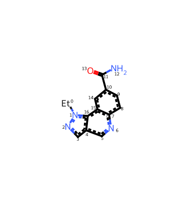 CCn1ncc2cnc3ccc(C(N)=O)cc3c21